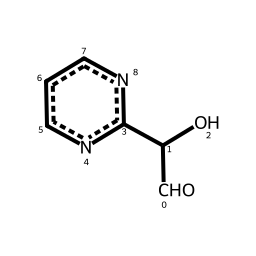 O=CC(O)c1ncccn1